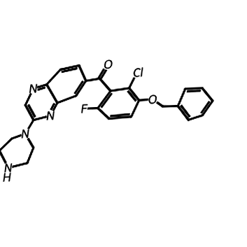 O=C(c1ccc2ncc(N3CCNCC3)nc2c1)c1c(F)ccc(OCc2ccccc2)c1Cl